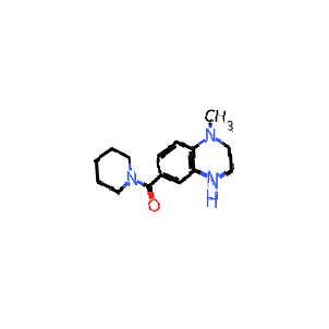 CN1CCNc2cc(C(=O)N3CCCCC3)ccc21